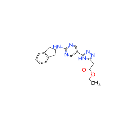 CCOC(=O)Cc1nnc(-c2cnc(NC3Cc4ccccc4C3)nc2)[nH]1